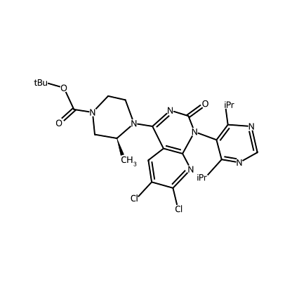 CC(C)c1ncnc(C(C)C)c1-n1c(=O)nc(N2CCN(C(=O)OC(C)(C)C)C[C@@H]2C)c2cc(Cl)c(Cl)nc21